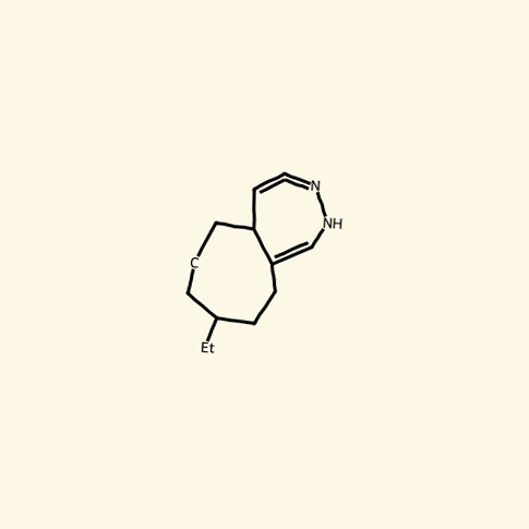 CCC1CCCC2C=C=NNC=C2CC1